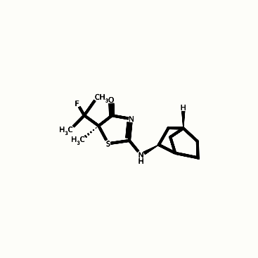 CC(C)(F)[C@]1(C)SC(N[C@H]2C[C@@H]3CCC2C3)=NC1=O